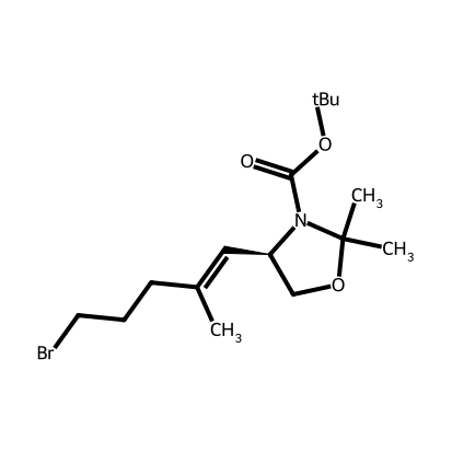 CC(=C[C@@H]1COC(C)(C)N1C(=O)OC(C)(C)C)CCCBr